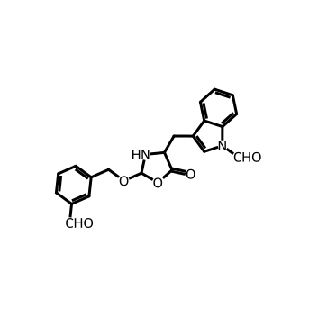 O=Cc1cccc(COC2NC(Cc3cn(C=O)c4ccccc34)C(=O)O2)c1